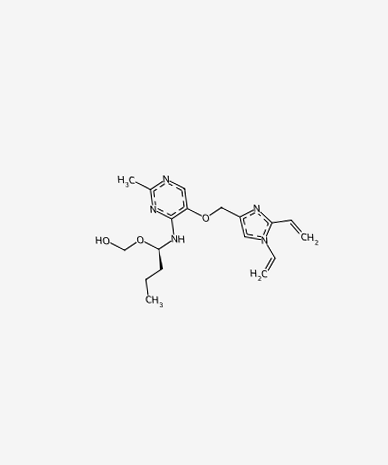 C=Cc1nc(COc2cnc(C)nc2N[C@@H](CCC)OCO)cn1C=C